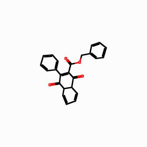 O=C(OCc1ccccc1)C1=C(c2ccccc2)C(=O)C2C=CC=CC2C1=O